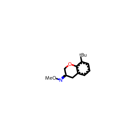 CON=C1COc2c(cccc2C(C)(C)C)C1